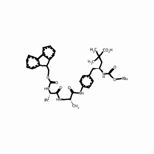 CC(C)[C@H](NC(=O)OCC1c2ccccc2-c2ccccc21)C(=O)N[C@@H](C)C(=O)Nc1ccc(C[C@@H](CC(C)(C)C(=O)O)NC(=O)OC(C)(C)C)cc1